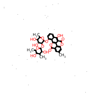 Cc1cc2oc(=O)c3c(O)c4cccc(O[C@@H]5OC(C)[C@H](O)[C@H](O)C5O[C@H]5OC(C)[C@H](O)C(C)[C@H]5O)c4c4oc(=O)c(c1)c2c34